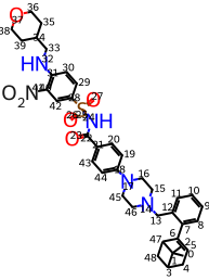 CC1(C)C2CC=C(c3ccccc3CN3CCN(c4ccc(C(=O)NS(=O)(=O)c5ccc(NCC6CCOCC6)c([N+](=O)[O-])c5)cc4)CC3)C1C2